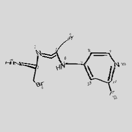 CC(C)/C(=N/C(=N)Br)Nc1ccnc(F)c1